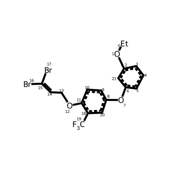 CCOc1cccc(Oc2ccc(OCC=C(Br)Br)c(C(F)(F)F)c2)c1